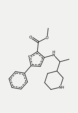 COC(=O)c1sc(-c2ccccc2)cc1NC(C)C1CCCNC1